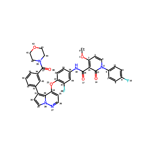 CCOc1ccn(-c2ccc(F)cc2)c(=O)c1C(=O)Nc1ccc(Oc2ccnn3ccc(-c4cccc(C(=O)N5CCOCC5)c4)c23)c(F)c1